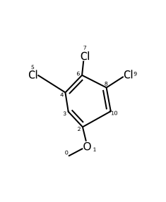 COc1cc(Cl)c(Cl)c(Cl)c1